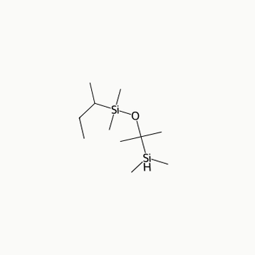 CCC(C)[Si](C)(C)OC(C)(C)[SiH](C)C